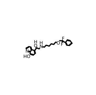 Oc1ccc([C@@H](O)CNCCCCCCOCC(F)(F)c2ccccc2)c2cccnc12